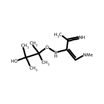 CN/C=C(/BOC(C)(C)C(C)(C)O)C(C)=N